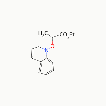 CCOC(=O)C(C)ON1CC=Cc2ccccc21